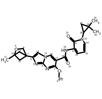 CC(C)Oc1nc2nc(C34COC(C)(C3)C4)cn2cc1C(=O)Nc1cccn(C2CC2(C)C)c1=O